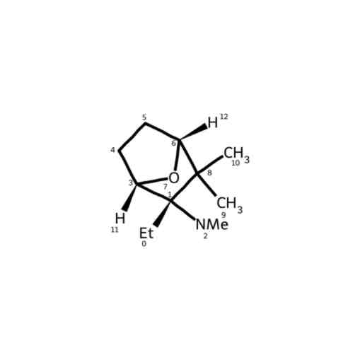 CC[C@@]1(NC)[C@@H]2CC[C@@H](O2)C1(C)C